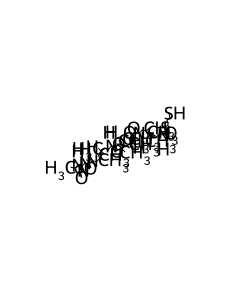 CCC(C)(CC(C)OC(C)(C)C(=O)NCC(C)CC(C)(C)CCNC(=O)SCCCS)OC(=O)NCCC(C)(C)CC(C)CNC(=O)Nc1nc(=O)cc(C)[nH]1